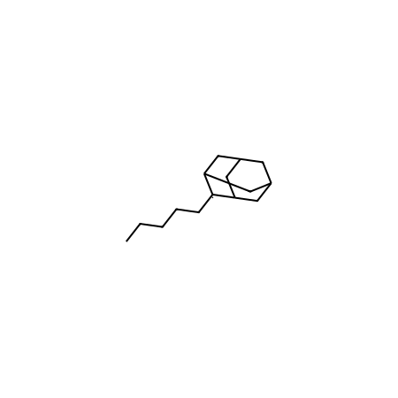 CCCCC[C]1C2CC3CC(C2)CC1C3